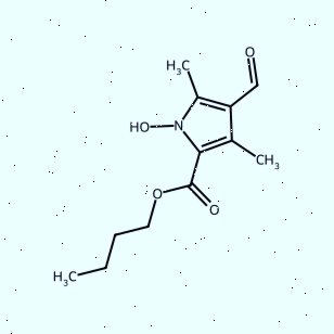 CCCCOC(=O)c1c(C)c(C=O)c(C)n1O